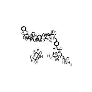 CC[C@H](C)[C@@H]([C@@H](CC(=O)N1CCC[C@H]1[C@H](OC)[C@@H](C)C(=O)N[C@@H](Cc1ccccc1)C(=O)OC)OC)N(C)C(=O)[C@@H](NC(=O)[C@H](C(C)C)N(C)CCc1ccc(NC(=O)[C@H](CCCNC(N)=O)NC(=O)[C@@H](N)C(C)C)cc1)C(C)C.O=C(O)C(F)(F)F.O=C(O)C(F)(F)F